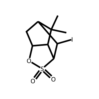 CC1(C)C2CC3OS(=O)(=O)C(C2I)C31